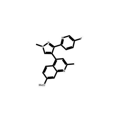 COc1ccc2c(-c3cn(C)nc3-c3ccc(F)cn3)cc(C)nc2c1